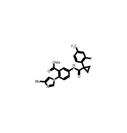 COC(=O)c1cc(NC(=O)C2(c3ccc(C(F)(F)F)cc3F)CC2)ccc1-n1cnc(C(C)(C)C)c1